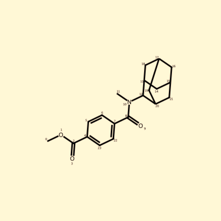 COC(=O)c1ccc(C(=O)N(C)C2C3CC4CC(C3)CC2C4)cc1